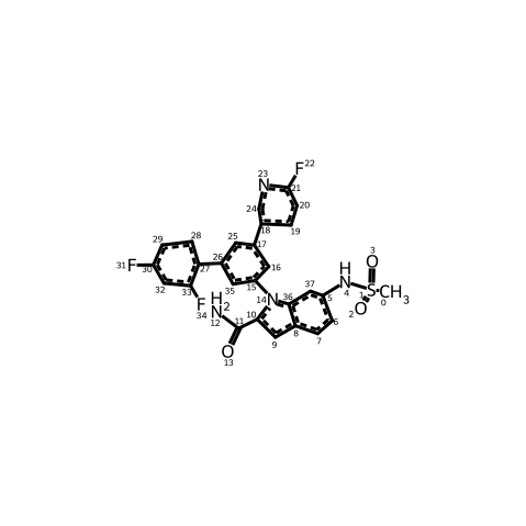 CS(=O)(=O)Nc1ccc2cc(C(N)=O)n(-c3cc(-c4ccc(F)nc4)cc(-c4ccc(F)cc4F)c3)c2c1